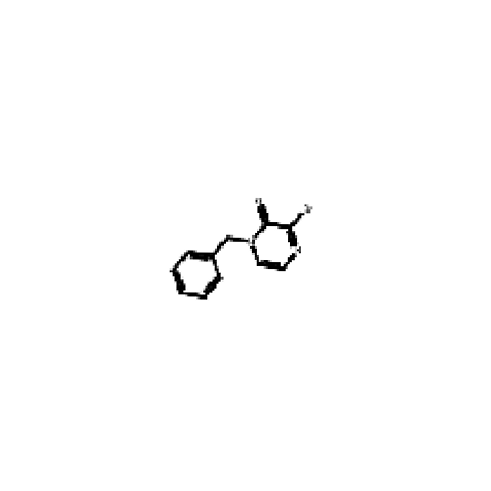 O=c1c(Br)nccn1Cc1ccccc1